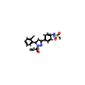 Cc1ccccc1C1CC(c2ccc(NS(C)(=O)=O)cc2)=NN1C(=O)C(C)(C)C